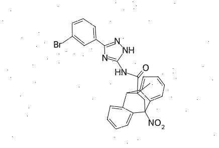 CC1(C(=O)Nc2nc(-c3cccc(Br)c3)n[nH]2)CC2([N+](=O)[O-])c3ccccc3C1c1ccccc12